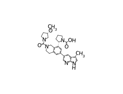 CO[C@H]1CCN(C(=O)N2CCc3cc(-c4cnc5[nH]cc(C)c5c4)cc([C@@H]4CCCN4C(=O)O)c3C2)C1